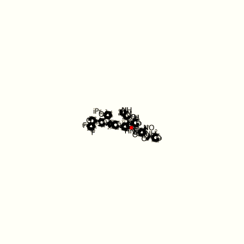 CC(C)Oc1ccccc1[C@@H]1CN([C@@H]2CCOc3c(F)cc(F)cc32)CCN1C1CC2(CCN(c3ccc(C(=O)NS(=O)(=O)c4cc5c(c([N+](=O)[O-])c4)N[C@H](C4CCOCC4)CO5)c(N4c5cc6cc[nH]c6nc5O[C@H]5COCC[C@@H]54)c3)CC2)C1